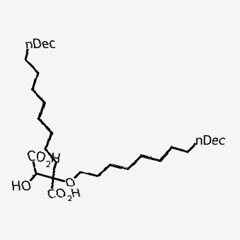 CCCCCCCCCCCCCCCCCCOC(CCCCCCCCCCCCCCCCCC)(C(=O)O)C(O)C(=O)O